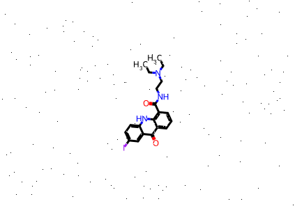 CCN(CC)CCNC(=O)c1cccc2c(=O)c3cc(I)ccc3[nH]c12